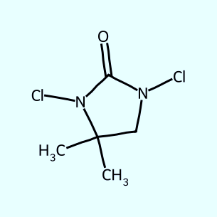 CC1(C)CN(Cl)C(=O)N1Cl